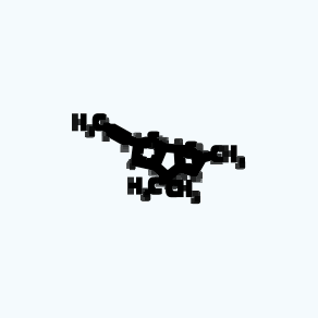 CC#Cc1cc2c(s1)-c1sc(C)cc1C2(C)C